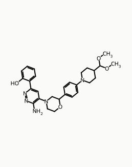 COC(OC)C1CCN(c2ccc(C3CN(c4cc(-c5ccccc5O)nnc4N)CCO3)cc2)CC1